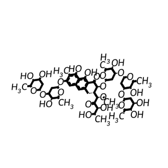 CO[C@H](C(=O)[C@@H](O)[C@@H](C)O)[C@@H]1Cc2cc3cc(O[C@H]4CC(O[C@H]5CC(O)[C@H](O)C(C)O5)[C@H](O)C(C)O4)c(C)c(O)c3c(O)c2C(=O)[C@H]1O[C@H]1C[C@@H](O[C@H]2C[C@@H](O[C@H]3C[C@@H](O)[C@H](O)C(C)O3)[C@H](O)C(C)O2)[C@H](O)C(C)O1